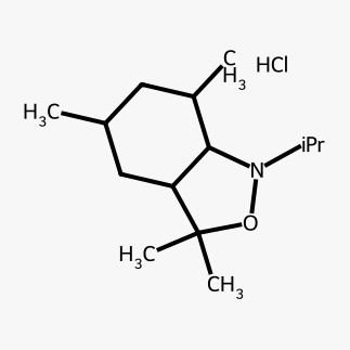 CC1CC(C)C2C(C1)C(C)(C)ON2C(C)C.Cl